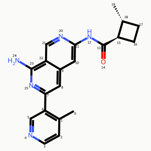 Cc1ccncc1-c1cc2cc(NC(=O)[C@@H]3CC[C@H]3C)ncc2c(N)n1